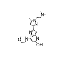 Cc1cc(-c2cc3nc(O)cc(N4CCOCC4)n3n2)nn1CCN(C)C